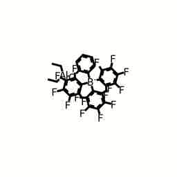 C[CH2][Al]([CH2]C)[O]c1ccccc1[B-](c1c(F)c(F)c(F)c(F)c1F)(c1c(F)c(F)c(F)c(F)c1F)c1c(F)c(F)c(F)c(F)c1F